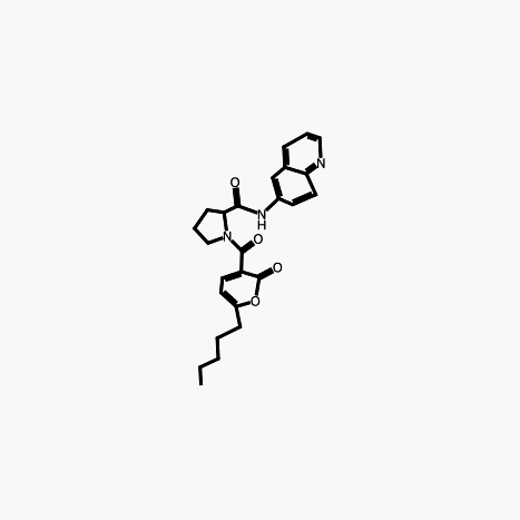 CCCCCc1ccc(C(=O)N2CCCC2C(=O)Nc2ccc3ncccc3c2)c(=O)o1